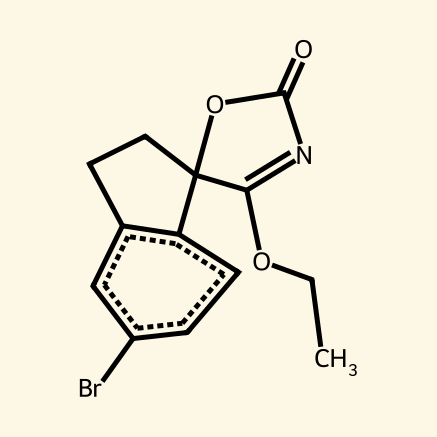 CCOC1=NC(=O)OC12CCc1cc(Br)ccc12